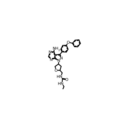 CCNC(=O)NCC1CC(n2nc(-c3ccc(Oc4ccccc4)cc3)c3c(N)ncnc32)CO1